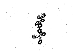 c1ccc(-c2nc(-c3ccccc3)nc(-n3c4ccccc4c4cc(-c5ccc6c(c5)c5ccccc5n6-c5cccc(-n6c7cccnc7c7ncccc76)c5)ccc43)n2)cc1